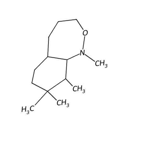 CC1C2C(CCCON2C)CCC1(C)C